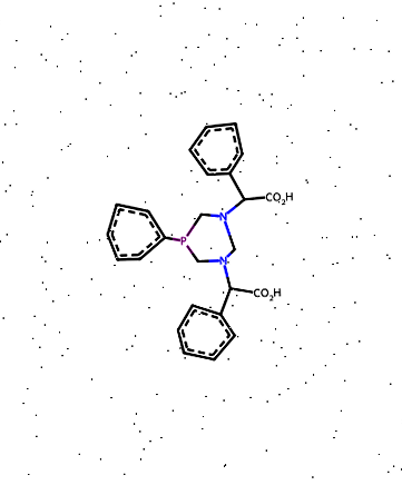 O=C(O)C(c1ccccc1)N1CN(C(C(=O)O)c2ccccc2)CP(c2ccccc2)C1